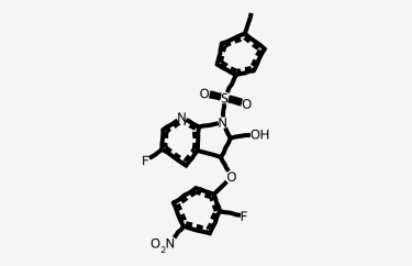 Cc1ccc(S(=O)(=O)N2c3ncc(F)cc3C(Oc3ccc([N+](=O)[O-])cc3F)C2O)cc1